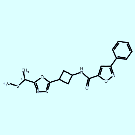 CS[C@@H](C)c1nnc(C2CC(NC(=O)c3cc(-c4ccccc4)no3)C2)o1